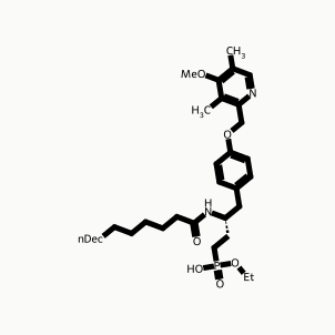 CCCCCCCCCCCCCCCC(=O)N[C@@H](CCP(=O)(O)OCC)Cc1ccc(OCc2ncc(C)c(OC)c2C)cc1